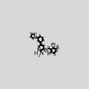 Nc1ncc(-c2cccc(N3CCCC3)c2)cc1OCc1c(F)ccc(F)c1Cl